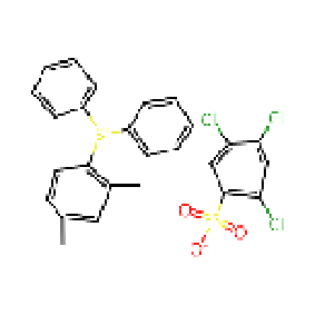 Cc1ccc([S+](c2ccccc2)c2ccccc2)c(C)c1.O=S(=O)([O-])c1cc(Cl)c(Cl)cc1Cl